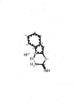 CCn1c(SC(=N)N)cc2ccccc21.I